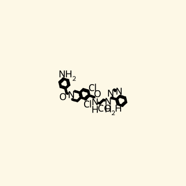 Nc1ccc(C(=O)N2CCc3c(cc(Cl)c(C(=O)N[C@@H](CNc4ncnc5ccccc45)C(=O)O)c3Cl)C2)cc1